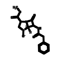 COC(=O)C1C[S+]([O-])[C@H]2C(NC(=O)Cc3ccccc3)C(=O)N12